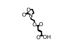 O=C(O)/C=C/C(=O)OCCN1CCOC1=O